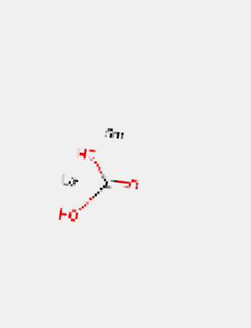 O=C(O)O.[La].[Sm]